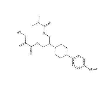 C=C(C)C(=O)OCC(COC(=O)C(=C)CO)C1CCC(c2ccc(CCCCC)cc2)CC1